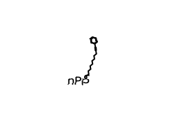 CCCSCCCCCCCCCCC#Cc1ccccc1